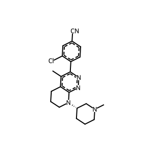 Cc1c(-c2ccc(C#N)cc2Cl)nnc2c1CCCN2[C@H]1CCCN(C)C1